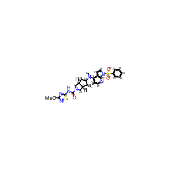 COc1nsc(NC(=O)N2C[C@H]3CC(N(C)c4c(C#N)cnc5c4ccn5S(=O)(=O)c4ccccc4)C[C@H]3C2)n1